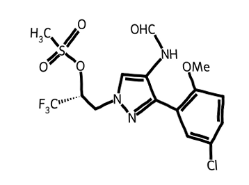 COc1ccc(Cl)cc1-c1nn(C[C@@H](OS(C)(=O)=O)C(F)(F)F)cc1NC=O